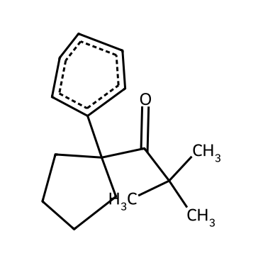 CC(C)(C)C(=O)C1(c2ccccc2)CCCC1